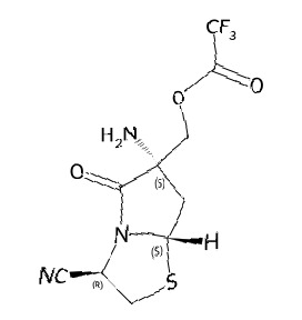 N#C[C@@H]1CS[C@H]2C[C@](N)(COC(=O)C(F)(F)F)C(=O)N12